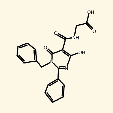 O=C(O)CNC(=O)c1c(O)nc(-c2ccccc2)n(Cc2ccccc2)c1=O